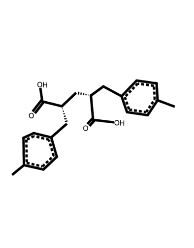 Cc1ccc(C[C@@H](C[C@H](Cc2ccc(C)cc2)C(=O)O)C(=O)O)cc1